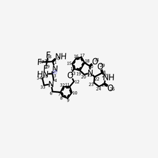 N=C(/N=C1/CN(Cc2cccc(COc3cccc4c3CN(C3CCC(=O)NC3=O)C4=O)c2)CCN1)C(F)(F)F